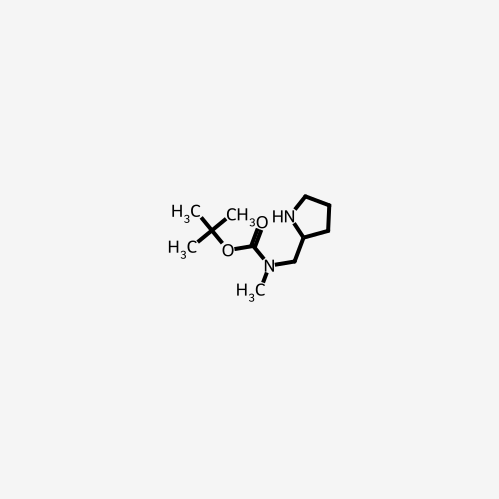 CN(CC1CCCN1)C(=O)OC(C)(C)C